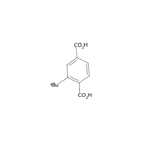 CC(C)(C)c1cc(C(=O)O)ccc1C(=O)O